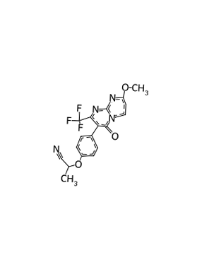 COc1ccn2c(=O)c(-c3ccc(OC(C)C#N)cc3)c(C(F)(F)F)nc2n1